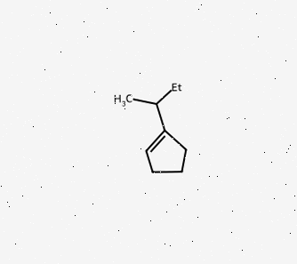 CCC(C)C1=CCCC1